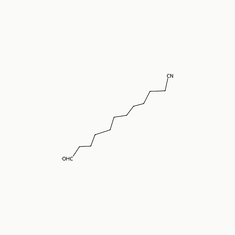 N#CCCCCCCCCCC[C]=O